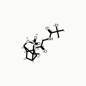 CCC(C)(C)C(=O)NCC(=O)OC1(C)C2CC3C1OS(=O)(=O)C3C2